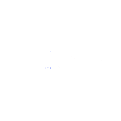 O=c1[nH]c(-c2ccccc2)ncc1OCc1ccccc1